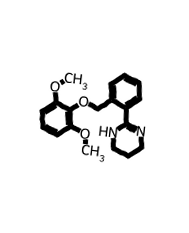 COc1cccc(OC)c1OCc1ccccc1C1=NCCCN1